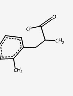 Cc1ccccc1CC(C)C(=O)Cl